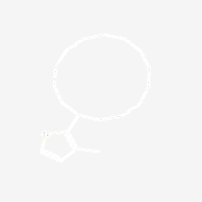 CC1=C(C2CCCCCCCCCCCCC2)[N]C=C1